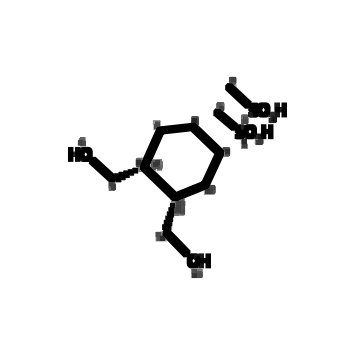 CS(=O)(=O)O.CS(=O)(=O)O.OC[C@@H]1CCCC[C@@H]1CO